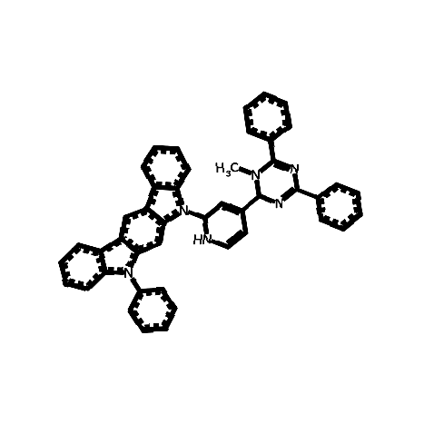 CN1C(c2ccccc2)=NC(c2ccccc2)=NC1C1=CC(n2c3ccccc3c3cc4c5ccccc5n(-c5ccccc5)c4cc32)NC=C1